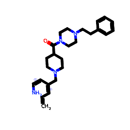 C=C/C=C(\C=C/N)CN1CCC(C(=O)N2CCN(CCc3ccccc3)CC2)CC1